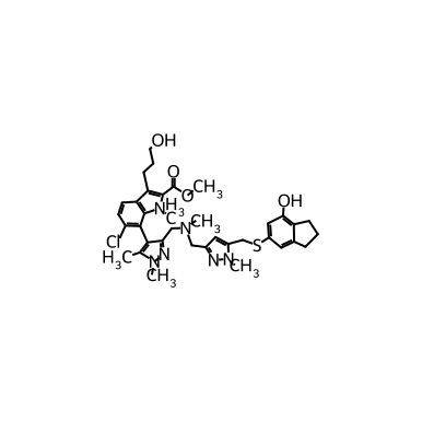 COC(=O)c1c(CCCO)c2ccc(Cl)c(-c3c(CN(C)Cc4cc(CSc5cc(O)c6c(c5)CCC6)n(C)n4)nn(C)c3C)c2n1C